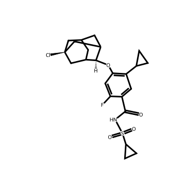 O=C(NS(=O)(=O)C1CC1)c1cc(C2CC2)c(O[C@H]2C3CC4CC2C[C@@](Cl)(C4)C3)cc1F